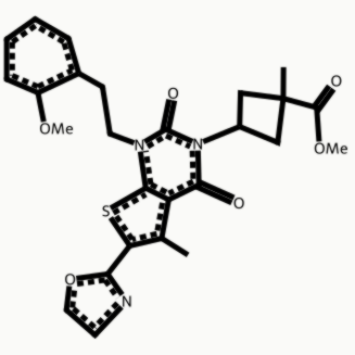 COC(=O)C1(C)CC(n2c(=O)c3c(C)c(-c4ncco4)sc3n(CCc3ccccc3OC)c2=O)C1